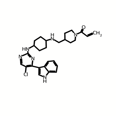 C=CC(=O)N1CCC(CNC2CCC(Nc3ncc(Cl)c(-c4c[nH]c5ccccc45)n3)CC2)CC1